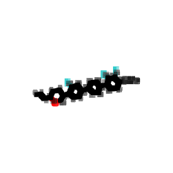 C/C=C/C1CCC(c2ccc(-c3ccc(-c4ccc(OC)c(F)c4F)cc3)cc2F)CO1